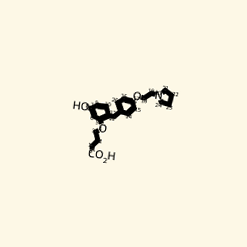 O=C(O)CCCOc1cc(O)c[c]c1Cc1ccc(OCCN2CCCC2)cc1